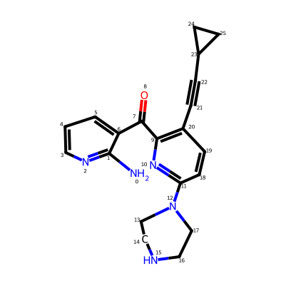 Nc1ncccc1C(=O)c1nc(N2CCNCC2)ccc1C#CC1CC1